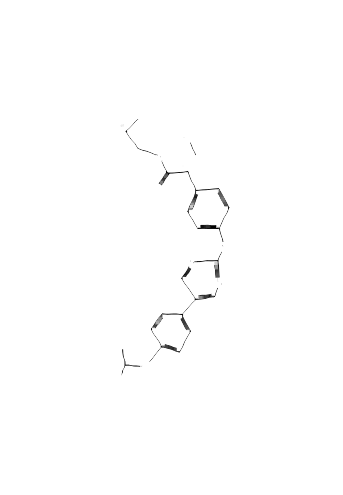 C[C@H](O)CNC(=O)[C@H](CO)c1ccc(Nc2ncc(-c3ccc(OC(F)F)cc3)cn2)cc1